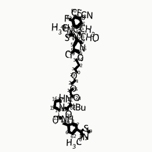 Cc1ncsc1-c1ccc(CNC(=O)[C@@H]2CCCN2C(=O)C(NC(=O)COCCOCCCCOc2ncc(N(C(=S)N(C)c3ccc(C#N)c(C(F)(F)F)c3F)C(C)(C)C=O)cc2Cl)C(C)(C)C)cc1